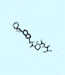 CC(C)[C@H](O)C(=O)N[C@@H](C)C(=O)N1CCC[C@@H](C(=O)N[C@H](C)c2ccc3ccc(C=CC4(C(=O)O)COCOC4)cc3n2)N1